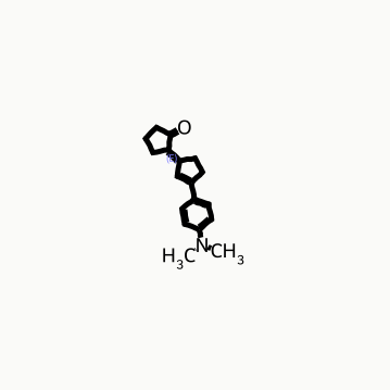 CN(C)c1ccc(C2=C/C(=C3\CCCC3=O)CC2)cc1